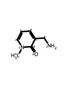 Cn1cccc(CN)c1=O